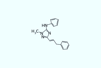 Cn1nc(C=CCc2ccccc2)nc1Nc1ccccc1